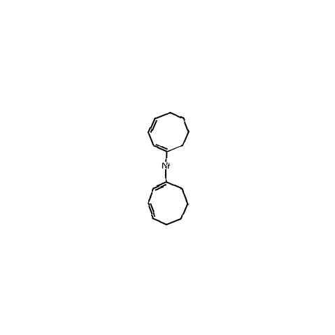 C1=CCCCC[C]([Ni][C]2=CC=CCCCC2)=C1